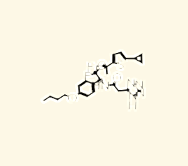 CCCCOc1ccc([C@](CC(=O)c2ccc(C3CC3)s2)(NC(=O)Cc2nnn[nH]2)C(F)(F)F)cc1